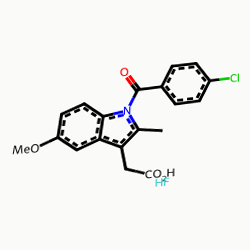 COc1ccc2c(c1)c(CC(=O)O)c(C)n2C(=O)c1ccc(Cl)cc1.F